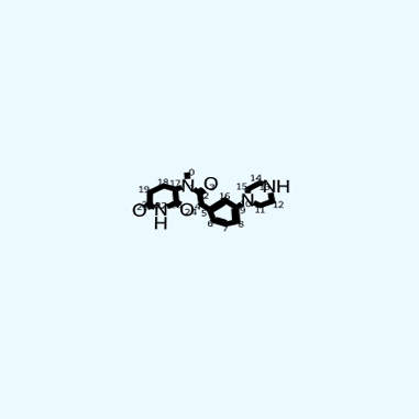 CN(C(=O)Cc1cccc(N2CCNCC2)c1)C1CCC(=O)NC1=O